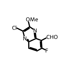 COc1nc2c(C=O)c(F)ccc2nc1Cl